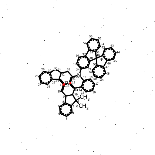 CC1(C)c2ccccc2C2C=CC=C(c3ccccc3N(C3=CC=C4c5ccccc5SC4C3)c3ccc4c(c3)C3(c5ccccc5-c5ccccc53)c3ccccc3-4)C21